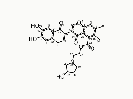 Cc1cc2occ(C3=CCc4cc(O)c(O)cc4C3=O)c(=O)c2c(C(=O)OCCN2CCC(O)C2)c1C